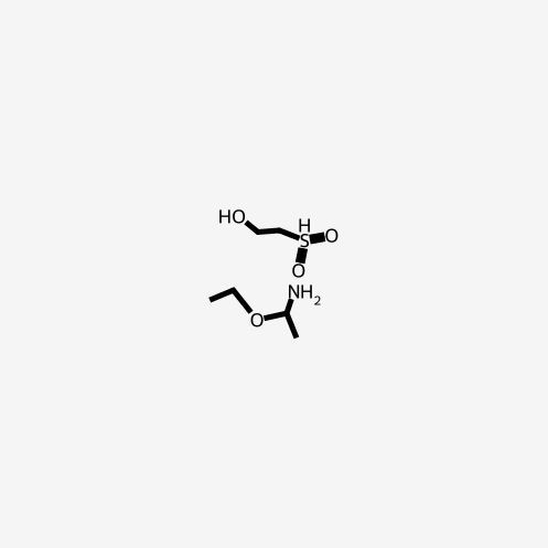 CCOC(C)N.O=[SH](=O)CCO